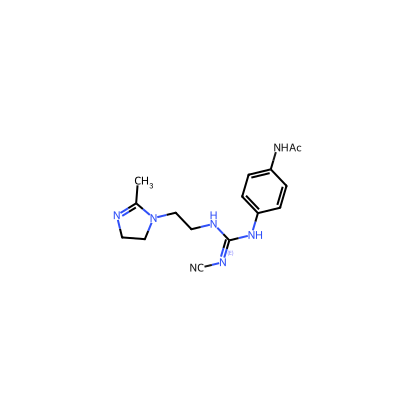 CC(=O)Nc1ccc(N/C(=N/C#N)NCCN2CCN=C2C)cc1